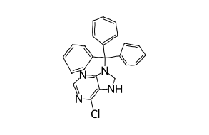 Clc1ncnc2c1NCN2C(c1ccccc1)(c1ccccc1)c1ccccc1